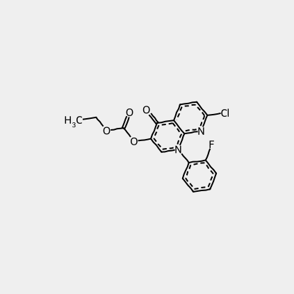 CCOC(=O)Oc1cn(-c2ccccc2F)c2nc(Cl)ccc2c1=O